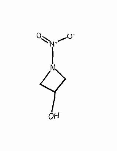 O=[N+]([O-])N1CC(O)C1